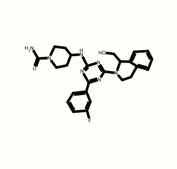 NC(=O)N1CCC(Nc2nc(-c3cccc(F)c3)nc(N3CCc4ccccc4C3CO)n2)CC1